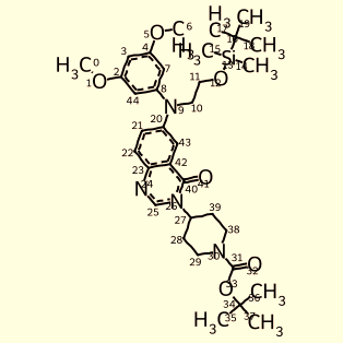 COc1cc(OC)cc(N(CCO[Si](C)(C)C(C)(C)C)c2ccc3ncn(C4CCN(C(=O)OC(C)(C)C)CC4)c(=O)c3c2)c1